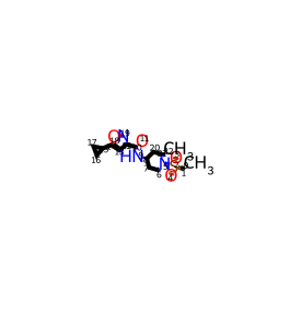 CCS(=O)(=O)N1CC[C@@H](NC(=O)c2cc(C3CC3)on2)C[C@@H]1C